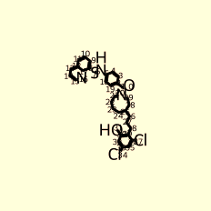 O=C(c1ccc(NSc2cccc3cccnc23)cc1)N1CCCCC(CCCc2c(O)cc(Cl)cc2Cl)CC1